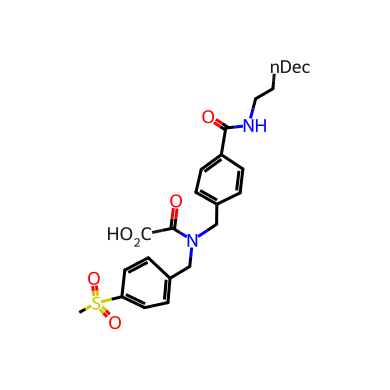 CCCCCCCCCCCCNC(=O)c1ccc(CN(Cc2ccc(S(C)(=O)=O)cc2)C(=O)C(=O)O)cc1